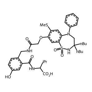 CCCCC1(CCCC)CN(c2ccccc2)c2cc(SC)c(OCC(=O)NCc3ccc(O)cc3C(=O)NC(C(=O)O)C(C)C)cc2S(=O)(=O)N1